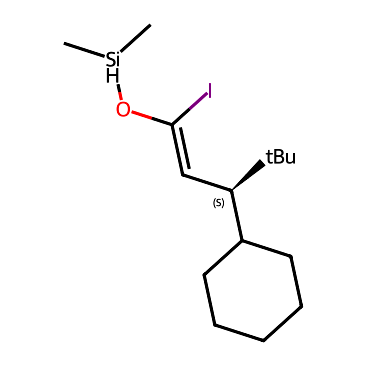 C[SiH](C)OC(I)=C[C@H](C1CCCCC1)C(C)(C)C